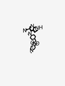 CN1CCN(S(=O)(=O)CC2CCC(N(C)c3c(C#N)cnc4[nH]ccc34)CC2)CC1